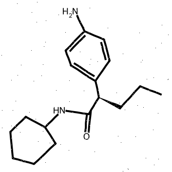 CCC[C@@H](C(=O)NC1CCCCC1)c1ccc(N)cc1